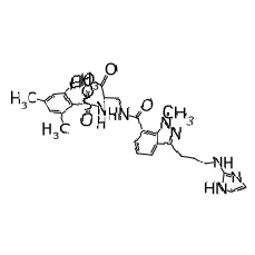 Cc1cc(C)c(S(=O)(=O)NC(CNC(=O)c2cccc3c(CCCNc4ncc[nH]4)nn(C)c23)C(=O)O)c(C)c1